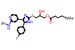 CNCCCC(=O)OCC(O)CSc1nc(-c2ccnc(NC(C)C)c2)c(-c2ccc(F)cc2)[nH]1